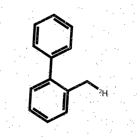 [2H]Cc1ccccc1-c1ccccc1